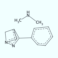 CNC.c1ccc(-c2nn3cc2C3)cc1